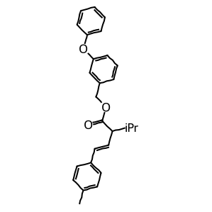 Cc1ccc(/C=C/C(C(=O)OCc2cccc(Oc3ccccc3)c2)C(C)C)cc1